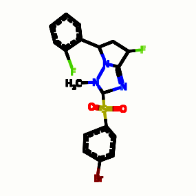 CN1C(S(=O)(=O)c2ccc(Br)cc2)N=C2C(F)CC(c3ccccc3F)N21